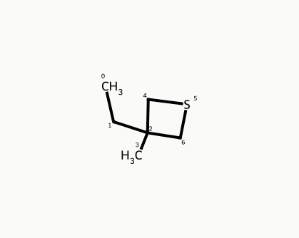 CCC1(C)CSC1